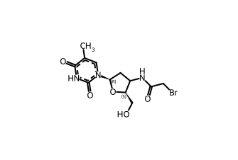 Cc1cn([C@H]2CC(NC(=O)CBr)[C@@H](CO)O2)c(=O)[nH]c1=O